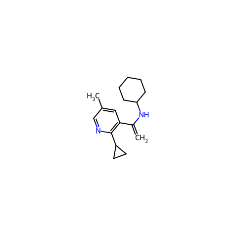 C=C(NC1CCCCC1)c1cc(C)cnc1C1CC1